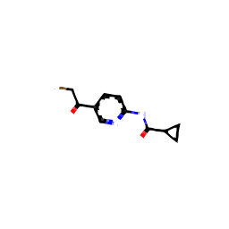 O=C(CBr)c1ccc(NC(=O)C2CC2)nc1